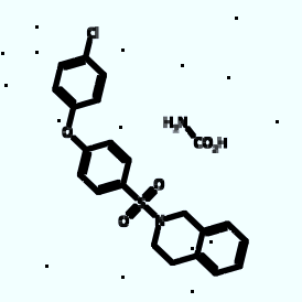 NC(=O)O.O=S(=O)(c1ccc(Oc2ccc(Cl)cc2)cc1)N1CCc2ccccc2C1